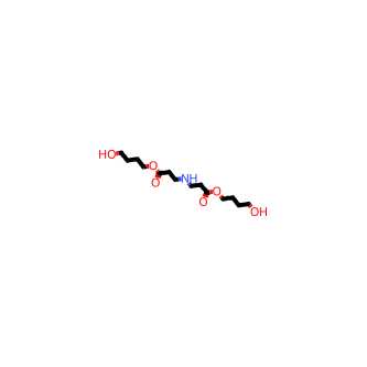 O=C(CCNCCC(=O)OCCCCO)OCCCCO